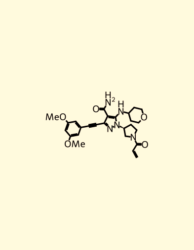 C=CC(=O)N1CC[C@H](n2nc(C#Cc3cc(OC)cc(OC)c3)c(C(N)=O)c2NC2CCOCC2)C1